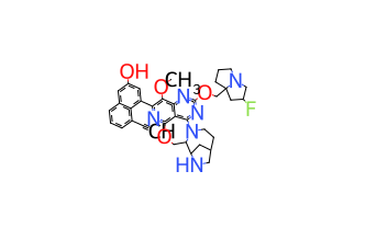 C#Cc1cccc2cc(O)cc(-c3nc4c5c(nc(OCC67CCCN6CC(F)C7)nc5c3OC)N3CCC5CNC(C5)C3CO4)c12